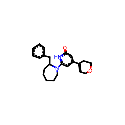 O=c1cc(C2=CCOCC2)cc(N2CCCCCC2Cc2ccccc2)[nH]1